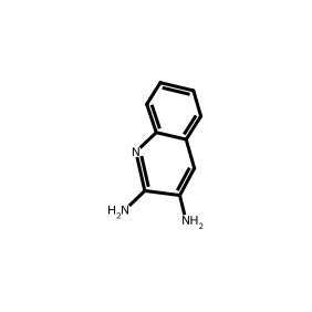 Nc1cc2ccccc2nc1N